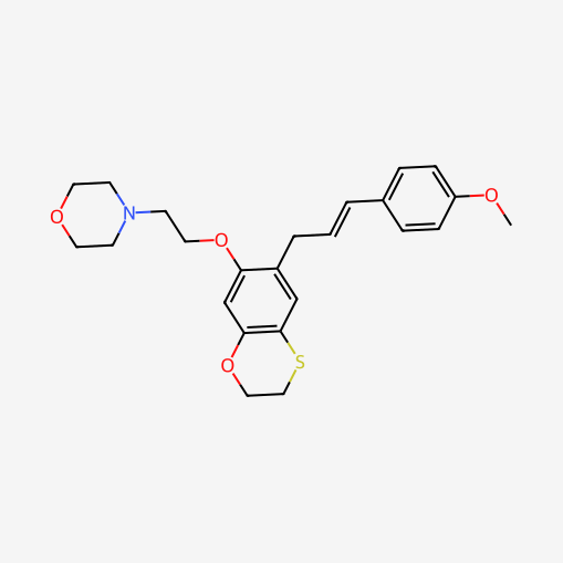 COc1ccc(C=CCc2cc3c(cc2OCCN2CCOCC2)OCCS3)cc1